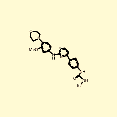 CCNC(=O)Nc1ccc(-c2ccnc(Nc3ccc(N4CCOCC4)c(OC)c3)n2)cc1